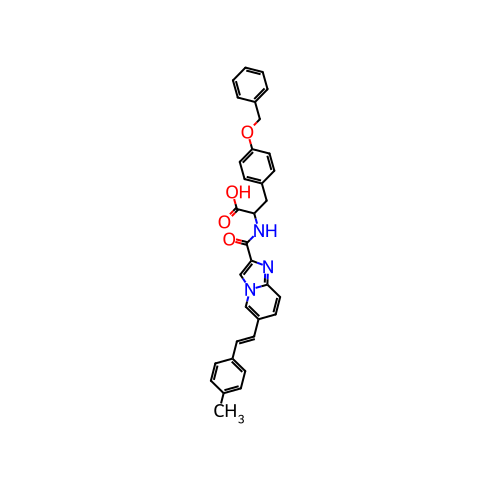 Cc1ccc(C=Cc2ccc3nc(C(=O)NC(Cc4ccc(OCc5ccccc5)cc4)C(=O)O)cn3c2)cc1